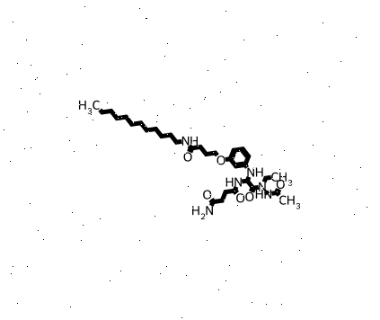 CCCCCCCCCCCCNC(=O)CCCOc1cccc(NC(NC(=O)CCC(N)=O)C(=O)N(CC)NC(C)=O)c1